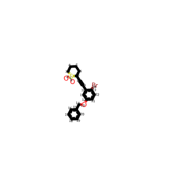 O=S1(=O)CCCCC1C#Cc1cc(OCc2ccccc2)ccc1Br